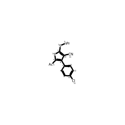 CCCSc1sc(C(C)=O)c(-c2ccc(Cl)cc2)c1C#N